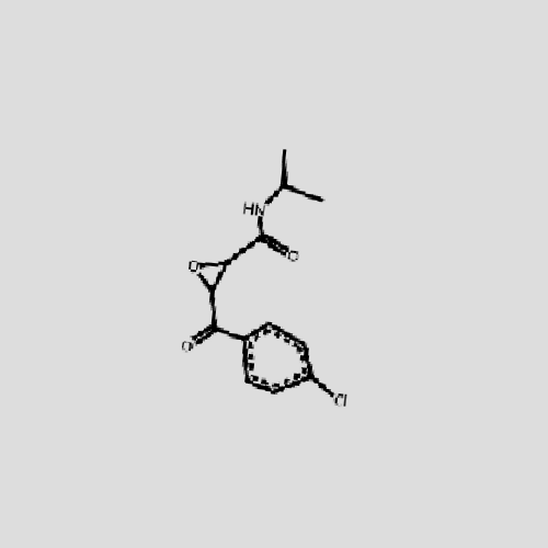 CC(C)NC(=O)C1OC1C(=O)c1ccc(Cl)cc1